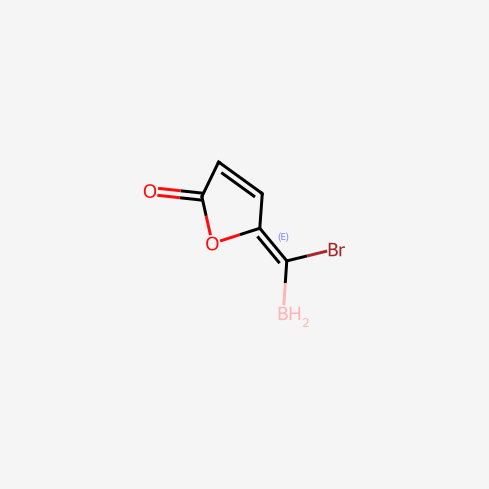 B/C(Br)=C1/C=CC(=O)O1